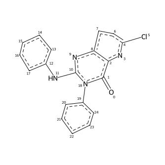 O=c1c2nc(Cl)ccc2nc(Nc2ccccc2)n1-c1ccccc1